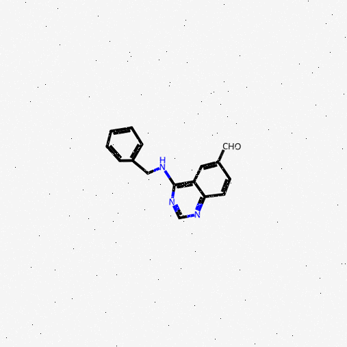 O=Cc1ccc2ncnc(NCc3ccccc3)c2c1